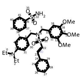 CCN(CC)c1ccc(CN(Cc2cc(OC)c(OC)c(OC)c2)S(=O)(=O)/C=C/c2ccccc2)cc1.NS(=O)(=O)c1ccccc1